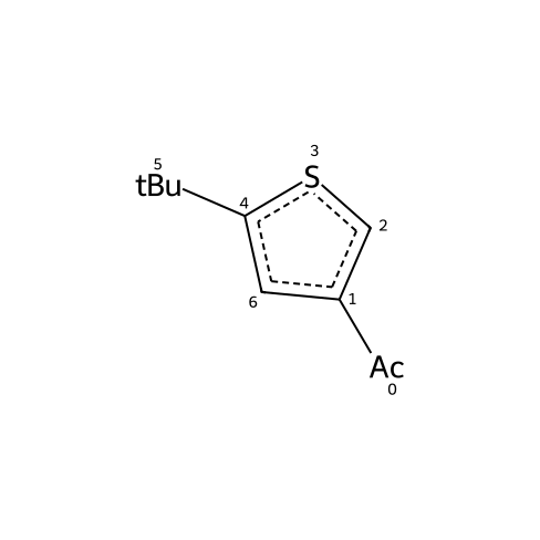 CC(=O)c1csc(C(C)(C)C)c1